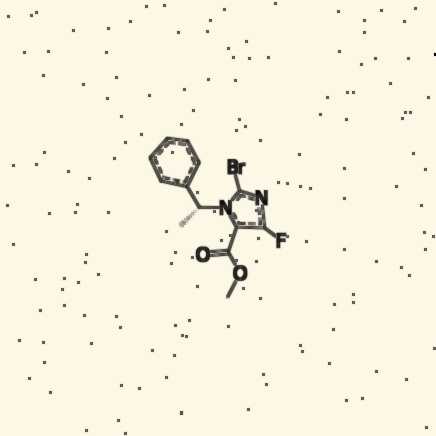 COC(=O)c1c(F)nc(Br)n1[C@H](C)c1ccccc1